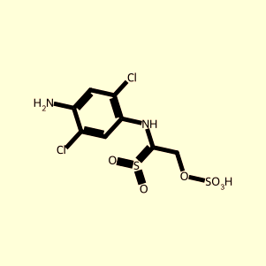 Nc1cc(Cl)c(NC(COS(=O)(=O)O)=S(=O)=O)cc1Cl